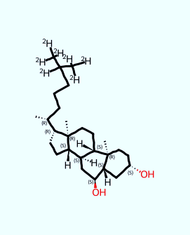 [2H]C([2H])([2H])C([2H])(CCC[C@@H](C)[C@H]1CC[C@H]2[C@@H]3C[C@H](O)[C@H]4C[C@@H](O)CC[C@]4(C)[C@H]3CC[C@]12C)C([2H])([2H])[2H]